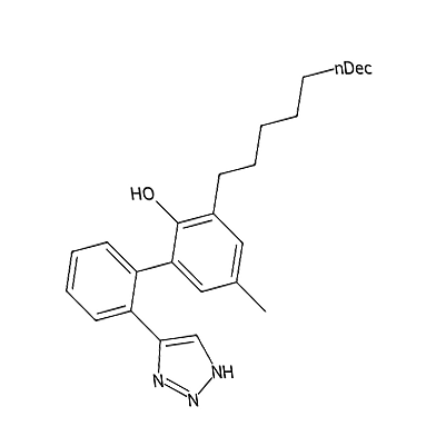 CCCCCCCCCCCCCCCc1cc(C)cc(-c2ccccc2-c2c[nH]nn2)c1O